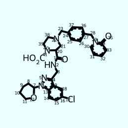 O=C(NCc1nn(C2CCCCO2)c2ccc(Cl)cc12)C1CN(Cc2ccc(Cn3ccccc3=O)cc2)CCN1C(=O)O